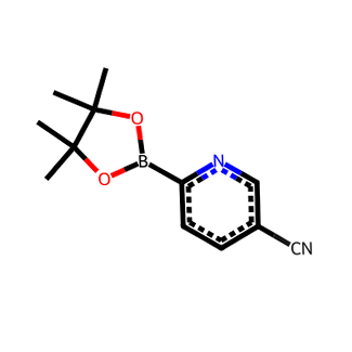 CC1(C)OB(c2ccc(C#N)cn2)OC1(C)C